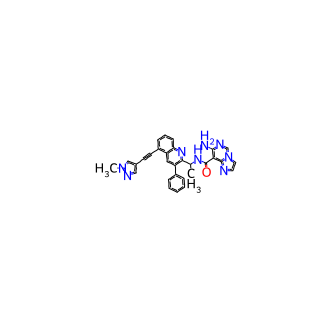 CC(NC(=O)c1c(N)ncn2ccnc12)c1nc2cccc(C#Cc3cnn(C)c3)c2cc1-c1ccccc1